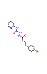 O=C(CCCc1ccc(Br)cc1)NNC(=O)Nc1ccccn1